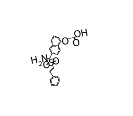 NC(c1ccc2c(OCC(=O)O)cccc2c1)S(=O)(=O)/C=C/c1ccccc1